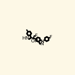 Cc1ccc2c(C(O)(CF)c3ccc4c(cnn4-c4ccc(F)cc4)c3)c[nH]c2c1